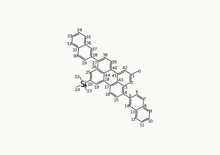 Cc1cc2c(-c3ccc4ccccc4c3)ccc3c4cc([Si](C)(C)C)cc5c(-c6ccc7ccccc7c6)ccc(c(c1)c23)c54